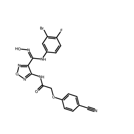 N#Cc1ccc(OCC(=O)Nc2nonc2/C(=N\O)Nc2ccc(F)c(Br)c2)cc1